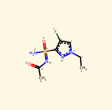 CCn1cc(F)c(S(N)(=O)=NC(C)=O)n1